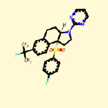 O=S(=O)(c1ccc(F)cc1)[C@@]12CCN(c3ncccn3)[C@@H]1CCc1cc(C(F)(C(F)(F)F)C(F)(F)F)ccc12